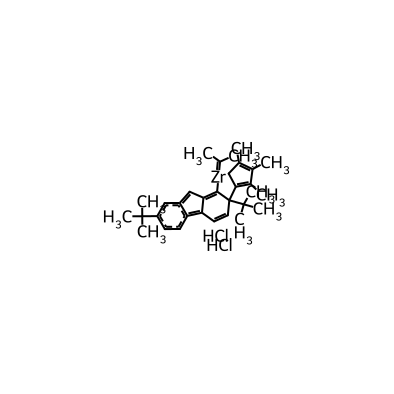 C[C](C)=[Zr][C]1=C2C=c3cc(C(C)(C)C)ccc3=C2C=CC1(C1=C(C)C(C)=C(C)C1)C(C)(C)C.Cl.Cl